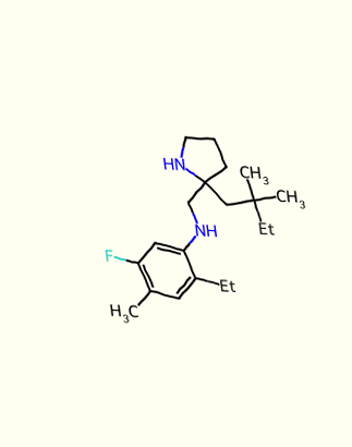 CCc1cc(C)c(F)cc1NCC1(CC(C)(C)CC)CCCN1